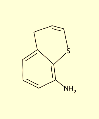 Nc1cccc2c1SC=CC2